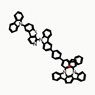 c1ccc(-c2cc(-c3ccc(-c4ccc5c(c4)c4ccccc4n5-c4nccc5c4sc4ccc(-n6c7ccccc7c7ccccc76)cc45)cc3)cc(-n3c4ccccc4c4ccc5c6ccccc6n(-c6ccccc6)c5c43)c2)cc1